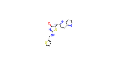 O=C1N=C(NCc2cccs2)S/C1=C\c1ccc2ncccc2n1